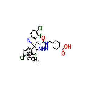 CC(C)(C)C[C@@H]1N[C@@H](C(=O)NC[C@H]2CC[C@H](C(=O)O)CC2)[C@H](c2cccc(Cl)c2F)[C@@]1(C#N)c1ccc(Cl)cc1F